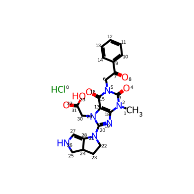 Cl.Cn1c(=O)n(CC(=O)c2ccccc2)c(=O)c2c1nc(N1CCC3CNC=C31)n2CC(=O)O